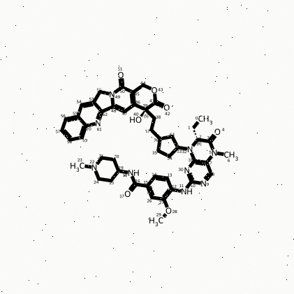 CC[C@@H]1C(=O)N(C)c2cnc(Nc3ccc(C(=O)NC4CCN(C)CC4)cc3OC)nc2N1C1CCC(CC[C@@]2(O)C(=O)OCc3c2cc2n(c3=O)Cc3cc4ccccc4nc3-2)C1